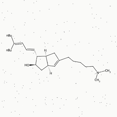 CCCCC(=C/C=C/[C@@H]1[C@H]2CC(CCCCCN(C)C)=C[C@H]2C[C@H]1O)CCCC